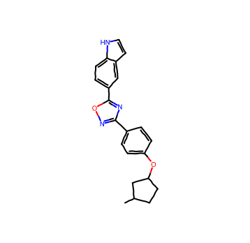 CC1CCC(Oc2ccc(-c3noc(-c4ccc5[nH]ccc5c4)n3)cc2)C1